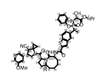 CCCOC(=O)[C@H](C)NP(=O)(Oc1ccccc1)[C@@H](F)c1ccc2sc(C(=O)N[C@H]3CCCC[C@H]4CC[C@@H](C(=O)N5C[C@H](c6cncc(OC)c6)[C@@H](C#N)C56CC6)N4C3=O)cc2c1